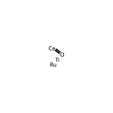 [O]=[Ce].[Ru].[Ti]